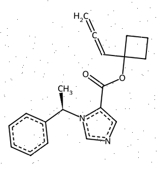 C=C=CC1(OC(=O)c2cncn2[C@H](C)c2ccccc2)CCC1